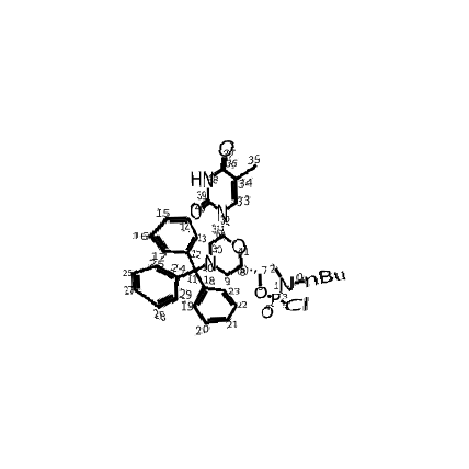 CCCCN(C)P(=O)(Cl)OC[C@@H]1CN(C(c2ccccc2)(c2ccccc2)c2ccccc2)C[C@H](n2cc(C)c(=O)[nH]c2=O)O1